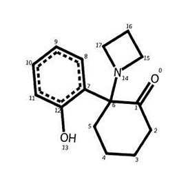 O=C1CCCCC1(c1ccccc1O)N1CCC1